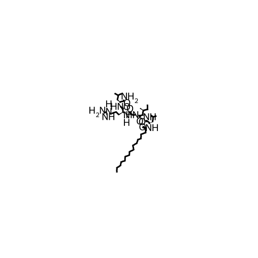 CCCCCCCCCCCCCCCC(=O)N[C@@H](CC(C)C)C(=O)N[C@H](C(=O)NCC(=O)N[C@@H](CCCNC(=N)N)C(=O)N[C@@H](CC(C)C)C(N)=O)[C@@H](C)CC